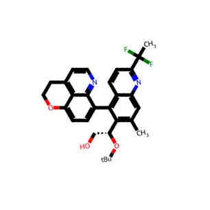 Cc1cc2nc(C(C)(F)F)ccc2c(-c2ccc3c4c(ccnc24)CCO3)c1[C@@H](CO)OC(C)(C)C